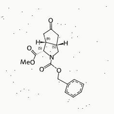 COC(=O)[C@@H]1[C@@H]2CC(=O)C[C@@H]2CN1C(=O)OCc1ccccc1